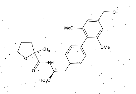 COc1cc(CO)cc(OC)c1-c1ccc(C[C@H](NC(=O)C2(C)CCCO2)C(=O)O)cc1